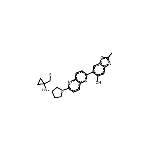 Cc1nc2cc(O)c(-c3ccc4nc(N5CC[C@H](NC6(CF)CC6)C5)ccc4n3)cc2o1